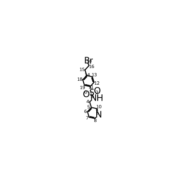 O=S(=O)(NCc1cccnc1)c1ccc(CCBr)cc1